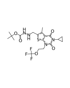 Cc1c(CNNC(=O)OC(C)(C)C)sc2c1c(=O)n(C1CC1)c(=O)n2CCOC(F)(F)F